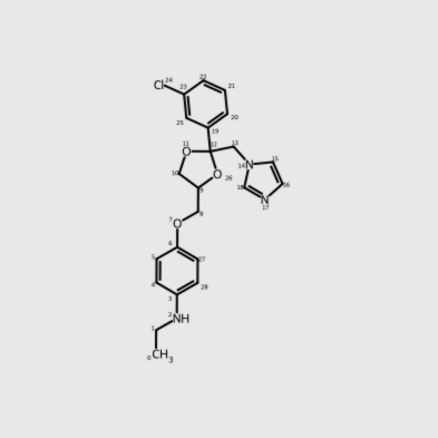 CCNc1ccc(OCC2COC(Cn3ccnc3)(c3cccc(Cl)c3)O2)cc1